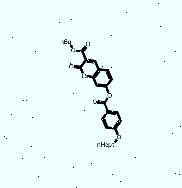 CCCCCCCOc1ccc(C(=O)Oc2ccc3cc(C(=O)OCCCC)c(=O)oc3c2)cc1